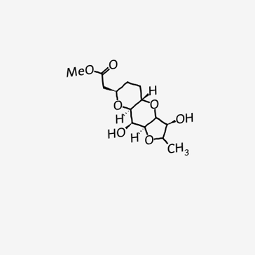 COC(=O)C[C@H]1CC[C@@H]2OC3[C@@H](O)C(C)O[C@H]3[C@@H](O)[C@H]2O1